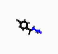 CC(=NN)c1ccc(C)cc1